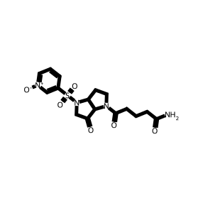 NC(=O)CC[CH]C(=O)N1CCC2C1C(=O)CN2S(=O)(=O)c1ccc[n+]([O-])c1